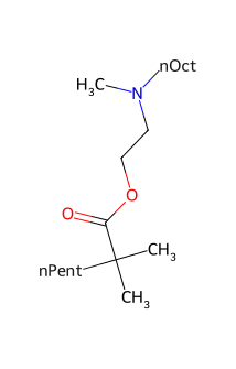 CCCCCCCCN(C)CCOC(=O)C(C)(C)CCCCC